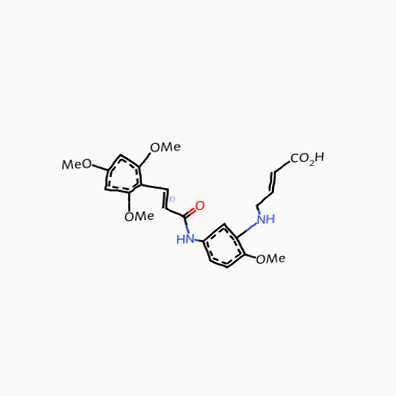 COc1cc(OC)c(/C=C/C(=O)Nc2ccc(OC)c(NCC=CC(=O)O)c2)c(OC)c1